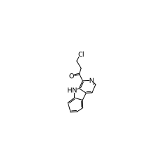 O=C(CCCl)c1nccc2c1[nH]c1ccccc12